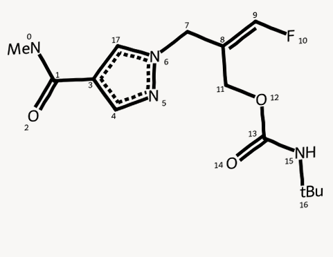 CNC(=O)c1cnn(CC(=CF)COC(=O)NC(C)(C)C)c1